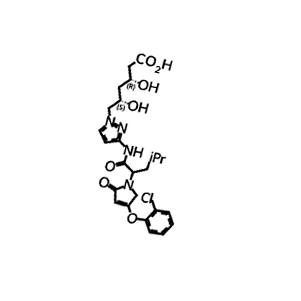 CC(C)CC(C(=O)Nc1ccn(C[C@@H](O)C[C@@H](O)CC(=O)O)n1)N1CC(Oc2ccccc2Cl)=CC1=O